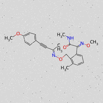 CNC(=O)/C(=N/OC)c1cccc(C)c1CO/N=C(\C)C#Cc1ccc(OC)cc1